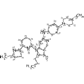 C=CCn1c(=O)c2cnc(Nc3ccc(N4CCN(C)CC4)cc3)nc2n1-c1cccc(-n2ccc(C)n2)n1